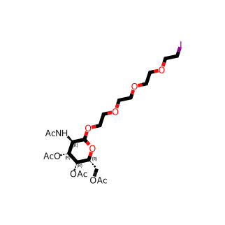 CC(=O)N[C@H]1C(OCCOCCOCCOCCI)O[C@H](COC(C)=O)[C@H](OC(C)=O)[C@@H]1OC(C)=O